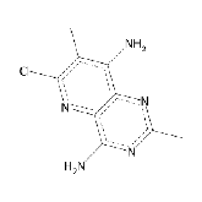 Cc1nc(N)c2nc(Cl)c(C)c(N)c2n1